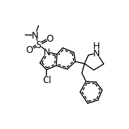 CN(C)S(=O)(=O)n1cc(Cl)c2cc(C3(Cc4ccccc4)CCNC3)ccc21